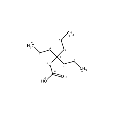 CCCC(CCC)(CCC)OC(=O)O